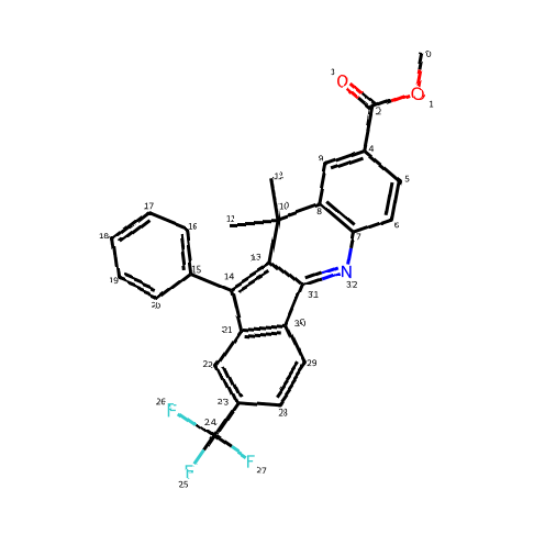 COC(=O)c1ccc2c(c1)C(C)(C)C1=C(c3ccccc3)c3cc(C(F)(F)F)ccc3C1=N2